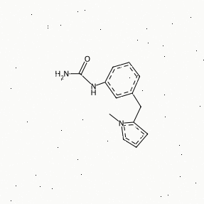 Cn1cccc1Cc1cccc(NC(N)=O)c1